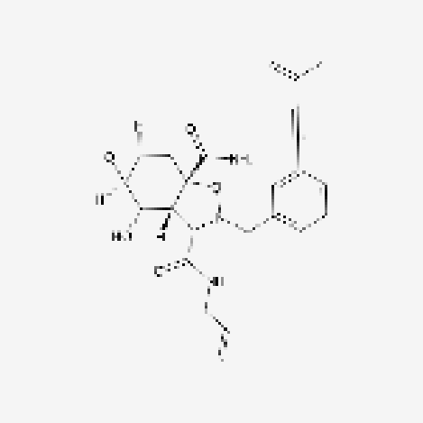 C=CCNC(=O)[C@@H]1[C@@H]2[C@H](O)[C@H]3O[C@H]3C[C@]2(C(N)=O)ON1Cc1cccc(C#CC(=C)C)c1